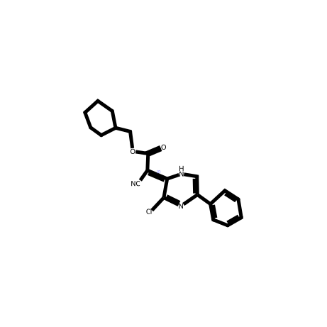 N#C/C(C(=O)OCC1CCCCC1)=C1/NC=C(c2ccccc2)N=C1Cl